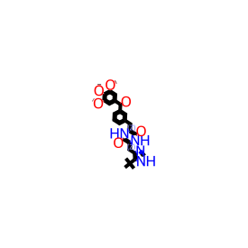 COc1cc(C(=O)c2cccc(/C=c3\[nH]c(=O)/c(=C/c4nc[nH]c4C(C)(C)C)[nH]c3=O)c2)cc(OC)c1OC